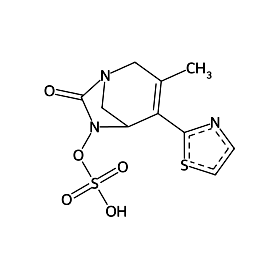 CC1=C(c2nccs2)C2CN(C1)C(=O)N2OS(=O)(=O)O